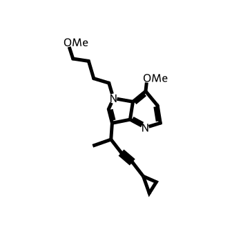 COCCCCn1cc(C(C)C#CC2CC2)c2nccc(OC)c21